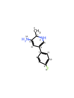 CC1NC=C(c2ccc(F)cc2)C=C1N